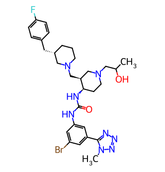 CC(O)CN1CC[C@@H](NC(=O)Nc2cc(Br)cc(-c3nnnn3C)c2)[C@@H](CN2CCC[C@@H](Cc3ccc(F)cc3)C2)C1